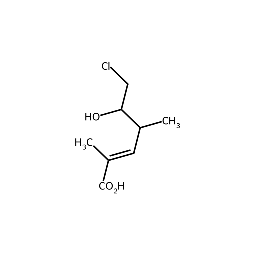 C/C(=C\C(C)C(O)CCl)C(=O)O